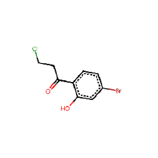 O=C(CCCl)c1ccc(Br)cc1O